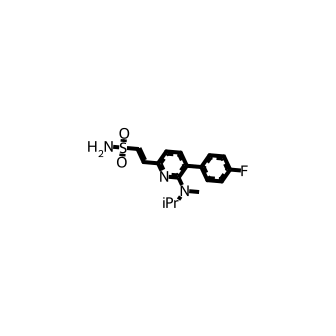 CC(C)N(C)c1nc(/C=C/S(N)(=O)=O)ccc1-c1ccc(F)cc1